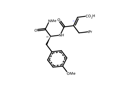 CNC(=O)[C@H](Cc1ccc(OC)cc1)NC(=O)/C(=C/C(=O)O)CC(C)C